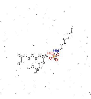 CCCCCCCCNOP(=O)(O)OCC(CCCCCC(C)CC)CCCC(C)CC